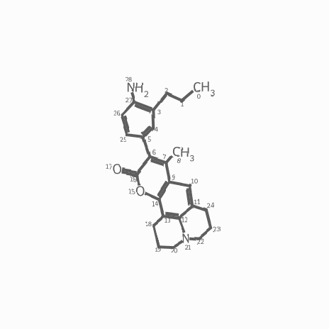 CCCc1cc(-c2c(C)c3cc4c5c(c3oc2=O)CCCN5CCC4)ccc1N